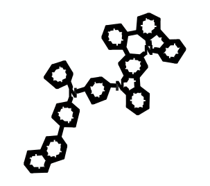 c1ccc(N(c2ccc(-c3ccc4ccccc4c3)cc2)c2ccc(-n3c4ccccc4c4cc5c(cc43)-c3ccccc3-c3cccc4c6ccccc6n-5c34)cc2)cc1